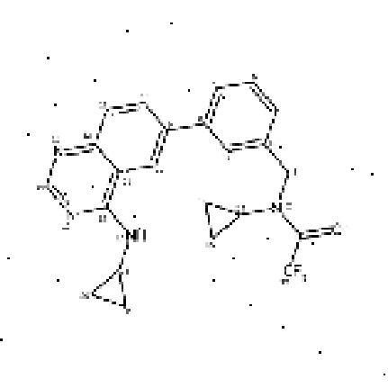 O=C(N(Cc1cccc(-c2ccc3ncnc(NC4CC4)c3c2)c1)C1CC1)C(F)(F)F